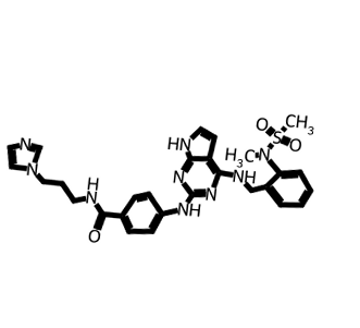 CN(c1ccccc1CNc1nc(Nc2ccc(C(=O)NCCCn3ccnc3)cc2)nc2[nH]ccc12)S(C)(=O)=O